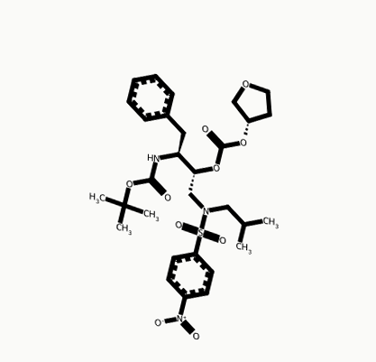 CC(C)CN(C[C@@H](OC(=O)O[C@H]1CCOC1)[C@H](Cc1ccccc1)NC(=O)OC(C)(C)C)S(=O)(=O)c1ccc([N+](=O)[O-])cc1